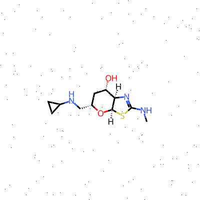 CNC1=N[C@H]2[C@H](O[C@H](CNC3CC3)C[C@@H]2O)S1